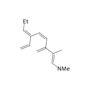 C=CC(/C=C\C(=C)/C(C)=C/NC)=C/CC